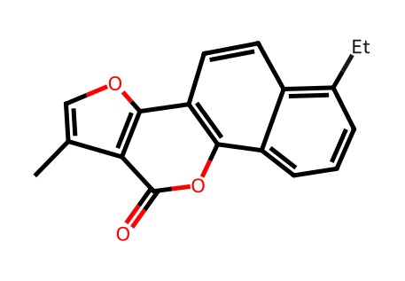 CCc1cccc2c1ccc1c3occ(C)c3c(=O)oc21